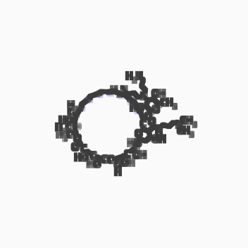 C[C@@H]1OC(=O)CC(O)CC(O)CCC(O)C(O)CC(O)CC2(O)C[C@H](O)C(C(=O)NCCCN(C)C)C(CC(O[C@@H]3O[C@H](C)C(O)C(N(CCCN)CCCN)[C@@H]3O)/C=C/C=C/C=C/C=C/C=C/C=C/C=C/[C@H](C)C(O)[C@H]1C)O2